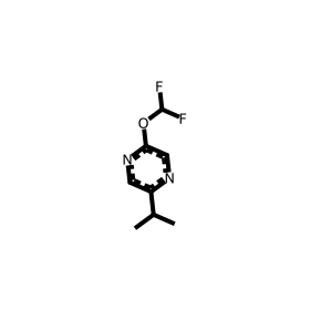 CC(C)c1cnc(OC(F)F)cn1